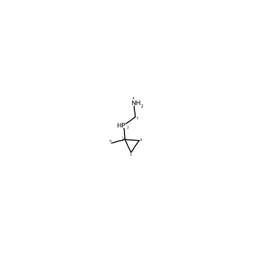 CC1(PCN)CC1